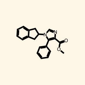 COC(=O)c1ncn(C2Cc3ccccc3C2)c1-c1ccccc1